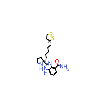 NC(=O)c1cccc2[nH]c([C@]3(CCCCC[C@@H]4CCSS4)CCCN3)nc12